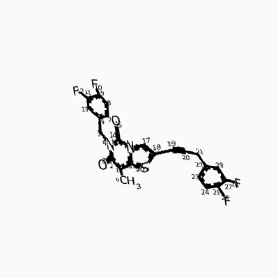 Cc1c(=O)n(Cc2ccc(F)c(F)c2)c(=O)n2cc(C#CCc3ccc(F)c(F)c3)sc12